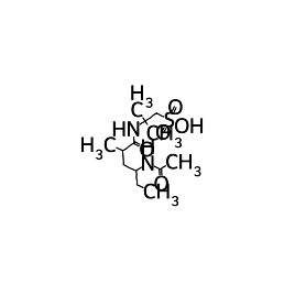 CCC(CC(C)C(=O)NC(C)(C)CS(=O)(=O)O)NC(C)=O